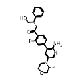 C[C@@H]1COCCN1c1cnc(N)c(-c2ccc(C(=O)C[C@H](CO)c3ccccc3)c(F)c2)c1